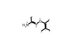 CC(C)=C(C)O/N=C(\C)N